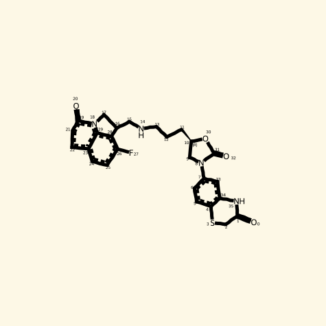 O=C1CSc2ccc(N3C[C@@H](CCCNCC4Cn5c(=O)ccc6ccc(F)c4c65)OC3=O)cc2N1